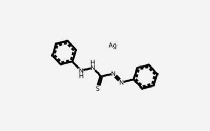 S=C(/N=N/c1ccccc1)NNc1ccccc1.[Ag]